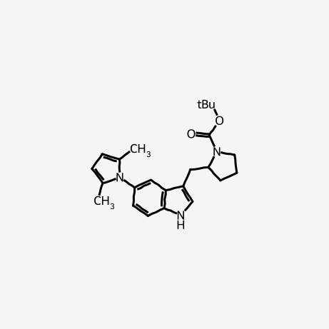 Cc1ccc(C)n1-c1ccc2[nH]cc(CC3CCCN3C(=O)OC(C)(C)C)c2c1